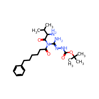 CC(C)C(N)C(=O)N(C(=O)CCCCCc1ccccc1)C(N)=NNC(=O)OC(C)(C)C